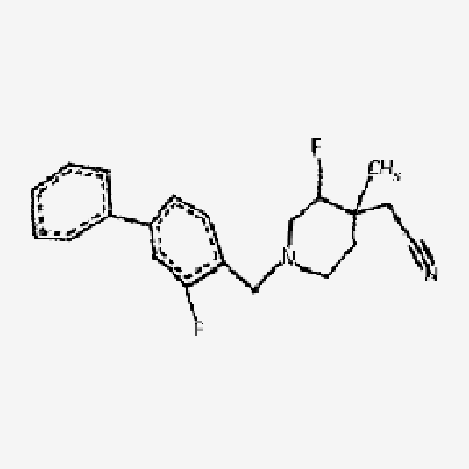 CC1(CC#N)CCN(Cc2ccc(-c3ccccc3)cc2F)CC1F